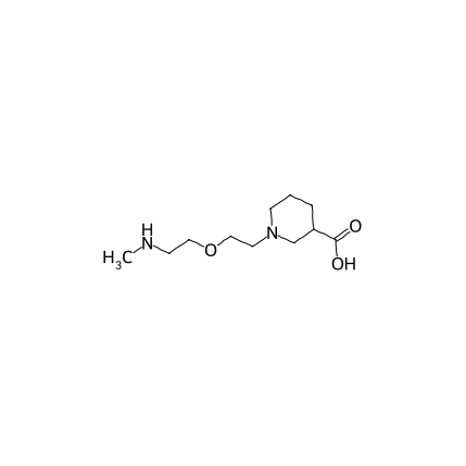 CNCCOCCN1CCCC(C(=O)O)C1